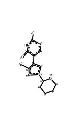 O=c1[nH]c(Cl)ncc1-c1cn(C2CCCCO2)nc1Br